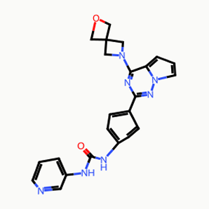 O=C(Nc1ccc(-c2nc(N3CC4(COC4)C3)c3cccn3n2)cc1)Nc1cccnc1